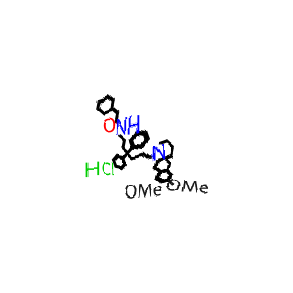 COc1cc2c(cc1OC)CC1(CCCCN1CCCC(CCCNC(=O)CC1CCCCC1)(c1ccccc1)c1ccccc1)CC2.Cl